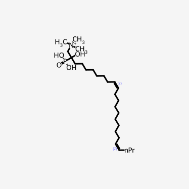 CCC/C=C\CCCCCCCC/C=C\CCCCCCCC(O)(C[N+](C)(C)C)P(=O)(O)O